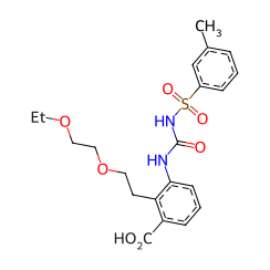 [CH2]COCCOCCc1c(NC(=O)NS(=O)(=O)c2cccc(C)c2)cccc1C(=O)O